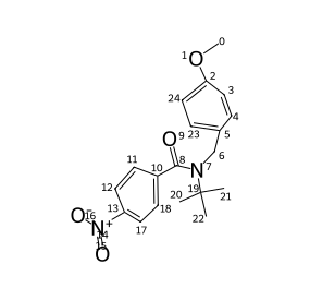 COc1ccc(CN(C(=O)c2ccc([N+](=O)[O-])cc2)C(C)(C)C)cc1